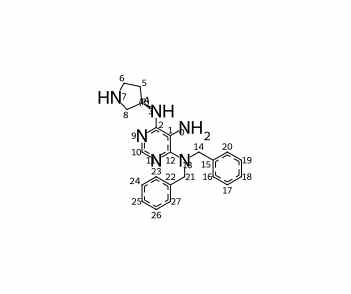 Nc1c(N[C@@H]2CCNC2)ncnc1N(Cc1ccccc1)Cc1ccccc1